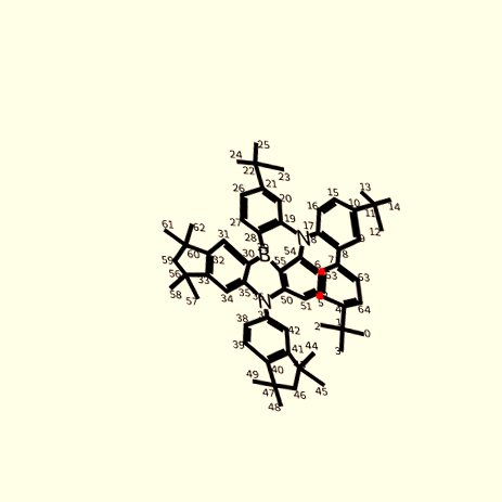 CC(C)(C)c1ccc(-c2cc(C(C)(C)C)ccc2N2c3cc(C(C)(C)C)ccc3B3c4cc5c(cc4N(c4ccc6c(c4)C(C)(C)CC6(C)C)c4cccc2c43)C(C)(C)CC5(C)C)cc1